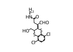 O=C/C(CC(=O)NP)=C1\Sc2c(Cl)ccc(Cl)c2SC1CO